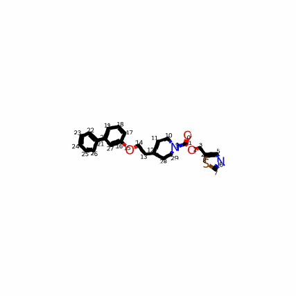 O=C(OCc1cncs1)N1CCC(CCOc2cccc(-c3ccccc3)c2)CC1